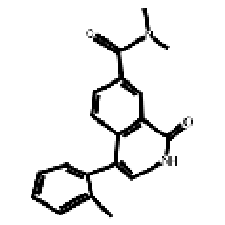 Cc1ccccc1-c1c[nH]c(=O)c2cc(C(=O)N(C)C)ccc12